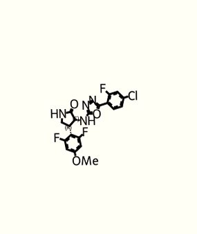 COc1cc(F)c([C@@H]2CNC(=O)[C@H]2Nc2nnc(-c3ccc(Cl)cc3F)o2)c(F)c1